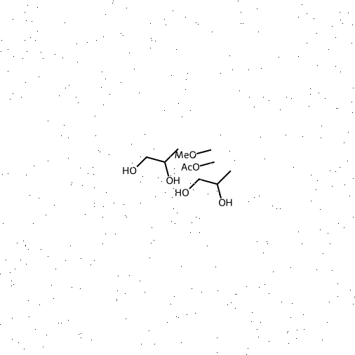 CC(O)CO.CC(O)CO.COC.COC(C)=O